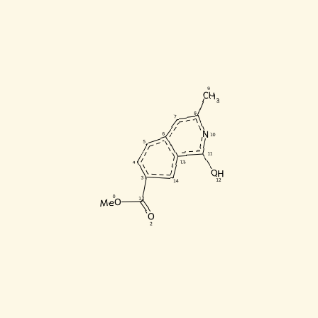 COC(=O)c1ccc2cc(C)nc(O)c2c1